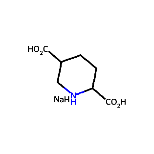 O=C(O)C1CCC(C(=O)O)NC1.[NaH]